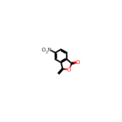 C=C1OC(=O)c2ccc([N+](=O)[O-])cc21